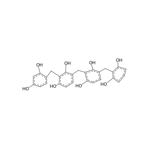 Oc1ccc(Cc2c(O)ccc(Cc3c(O)ccc(Cc4c(O)cccc4O)c3O)c2O)c(O)c1